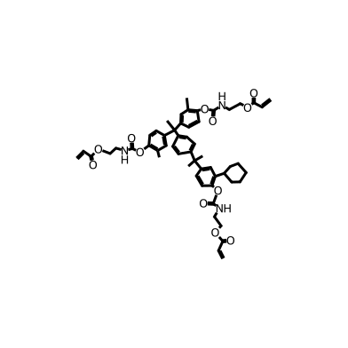 C=CC(=O)OCCNC(=O)Oc1ccc(C(C)(c2ccc(C(C)(C)c3ccc(OC(=O)NCCOC(=O)C=C)c(C4CCCCC4)c3)cc2)c2ccc(OC(=O)NCCOC(=O)C=C)c(C)c2)cc1C